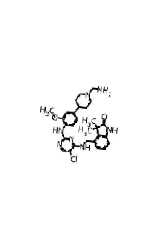 COc1cc(C2CCN(CN)CC2)ccc1Nc1ncc(Cl)c(NCc2cccc3c2C(C)(C)C(=O)N3)n1